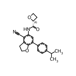 CC(C)c1ccc(-c2cc(NC(=O)[C@H]3CCO3)c(C#N)c3c2OCC3)cc1